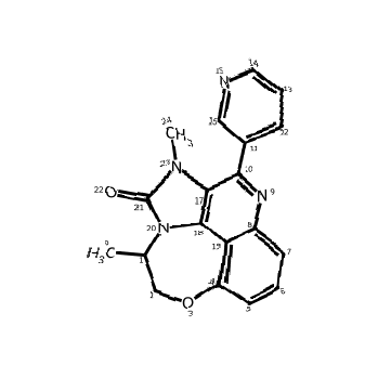 CC1COc2cccc3nc(-c4cccnc4)c4c(c23)n1c(=O)n4C